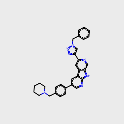 c1ccc(Cn2cc(-c3cc4c(cn3)[nH]c3ncc(-c5ccc(CN6CCCCC6)cc5)cc34)nn2)cc1